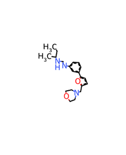 CCC(C)NC=Nc1cccc(-c2ccc(CN3CCOCC3)o2)c1